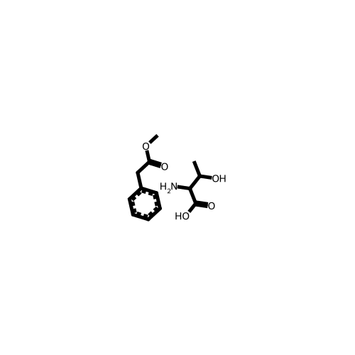 CC(O)C(N)C(=O)O.COC(=O)Cc1ccccc1